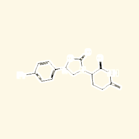 C=C1CCC(N2C[C@@H](c3ccc(C(C)C)cc3)OC2=O)C(=O)N1